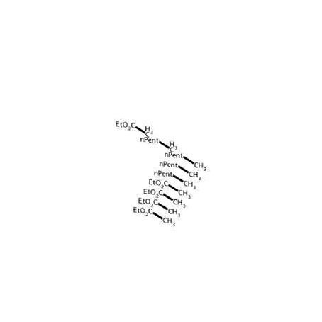 CCCCCC.CCCCCC.CCCCCC.CCCCCC.CCOC(C)=O.CCOC(C)=O.CCOC(C)=O.CCOC(C)=O.CCOC(C)=O